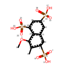 COc1c(C)c(S(=O)(=O)O)cc2cc(S(=O)(=O)O)cc(S(=O)(=O)O)c12